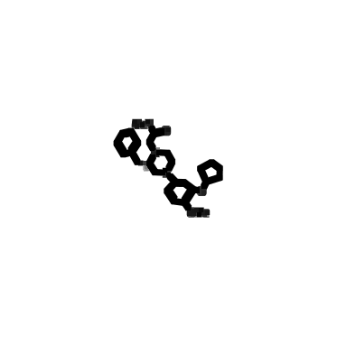 CNC(=O)CN1CCN(c2ccc(OC)c(OC3CCCC3)c2)C[C@@H]1Cc1ccccc1